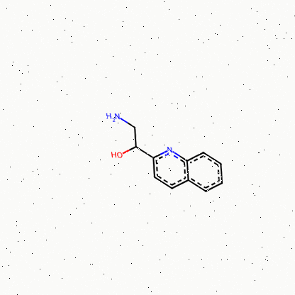 NCC(O)c1ccc2ccccc2n1